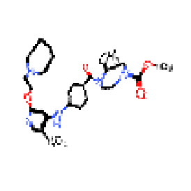 CCCCOC(=O)N1CCN(C(=O)C2CCC(Nc3cc(OCCN4CCCCC4)ncc3[N+](=O)[O-])CC2)C(C)C1